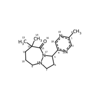 Cc1cnc(C2CCN3CCCC(C)(C)C(=O)N23)cn1